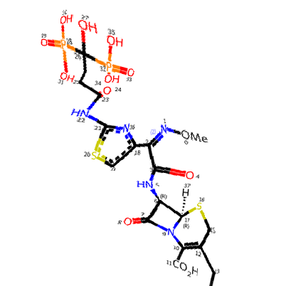 CO/N=C(\C(=O)N[C@@H]1C(=O)N2C(C(=O)O)=C(COC(C)=O)CS[C@H]12)c1csc(NC(=O)CC(O)(P(=O)(O)O)P(=O)(O)O)n1